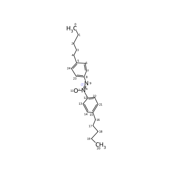 CCCCCc1ccc(/N=[N+](\[O-])c2ccc(CCCCC)cc2)cc1